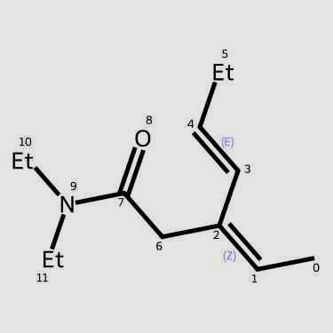 C/C=C(\C=C\CC)CC(=O)N(CC)CC